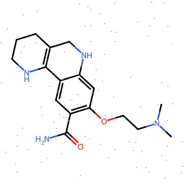 CN(C)CCOc1cc2c(cc1C(N)=O)C1=C(CCCN1)CN2